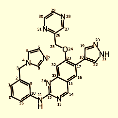 c1cc(Cn2ccnc2)cc(Nc2ncc3cc(-c4cn[nH]c4)c(OCc4cnccn4)cc3n2)c1